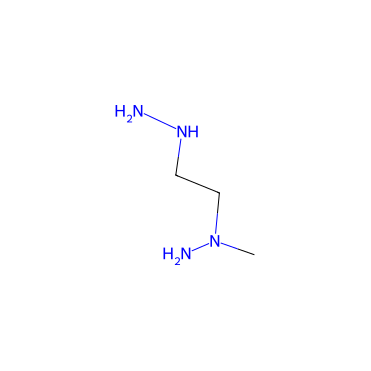 CN(N)CCNN